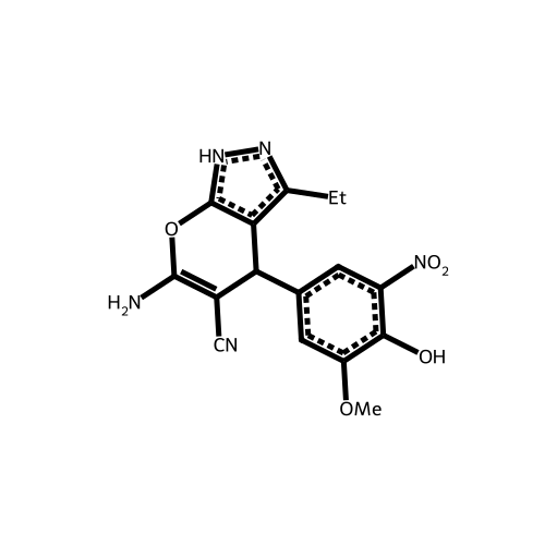 CCc1n[nH]c2c1C(c1cc(OC)c(O)c([N+](=O)[O-])c1)C(C#N)=C(N)O2